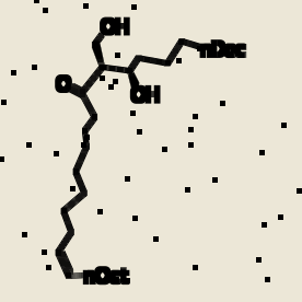 CCCCCCCC/C=C\CCCCCCCC(=O)[C@@H](CO)[C@H](O)CCCCCCCCCCCCC